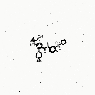 Cc1ccc(NC(=O)c2ccc(NC3(CO)CC3)nc2N2CCC3(CC2)CC3)cc1S(=O)(=O)C1CCCC1